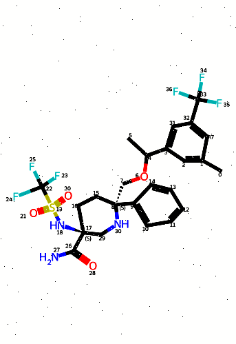 Cc1cc(C(C)OC[C@@]2(c3ccccc3)CC[C@@](NS(=O)(=O)C(F)(F)F)(C(N)=O)CN2)cc(C(F)(F)F)c1